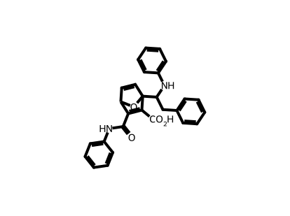 O=C(O)C1=C(C(=O)Nc2ccccc2)C2C=CC1(C(Cc1ccccc1)Nc1ccccc1)O2